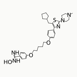 CN1CCN(c2nc(-c3ccc(OCCCCCOc4ccc(C(=N)NO)cc4)cc3)c(CC3CCCC3)s2)CC1